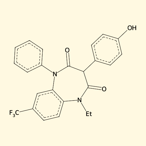 CCN1C(=O)C(c2ccc(O)cc2)C(=O)N(c2ccccc2)c2cc(C(F)(F)F)ccc21